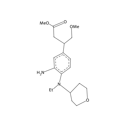 CCN(c1ccc(C(COC)CC(=O)OC)cc1N)C1CCOCC1